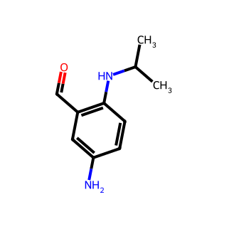 CC(C)Nc1ccc(N)cc1C=O